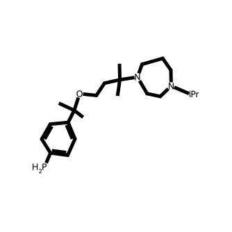 CC(C)N1CCCN(C(C)(C)CCOC(C)(C)c2ccc(P)cc2)CC1